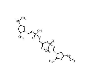 CN[C@@H]1CC(C)[C@@H](COP(=O)(O)OCC(OC)OP(=O)(O)OC[C@@H]2C[C@@H](NC)CN2C)C1